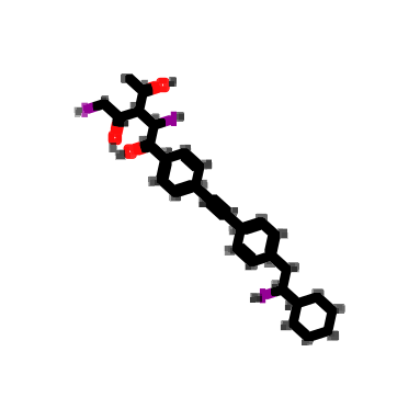 CC(=O)C(C(=O)CI)C(I)C(=O)c1ccc(C#Cc2ccc(CC(I)C3CCCCC3)cc2)cc1